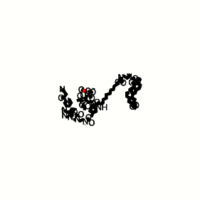 COC(=O)[C@H]1O[C@@H](Oc2ccc(COC(=O)N(C)CCN(C)C(=O)n3ccc4c(N(C)[C@@H]5CCCN(C(=O)CC#N)C5)ncnc43)cc2NC(=O)CCCCCCCCCOC(=O)N(C)CCN(C)C(=O)Oc2c(OC)ccc3cc4[n+](cc23)CCc2cc3c(cc2-4)OCO3)[C@H](OC(C)=O)[C@@H](OC(C)=O)[C@@H]1OC(C)=O